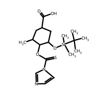 CC1CC(C(=O)O)CC(O[Si](C)(C)C(C)(C)C)C1OC(=S)n1ccnc1